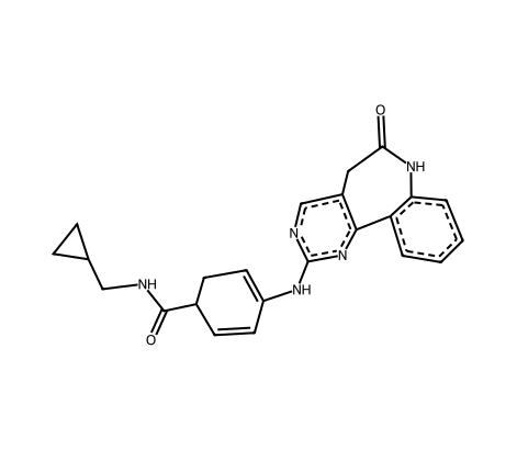 O=C1Cc2cnc(NC3=CCC(C(=O)NCC4CC4)C=C3)nc2-c2ccccc2N1